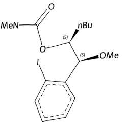 CCCC[C@H](OC(=O)NC)[C@@H](OC)c1ccccc1I